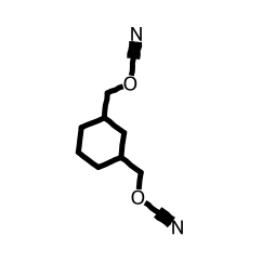 N#COCC1CCCC(COC#N)C1